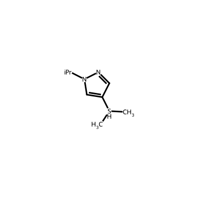 CC(C)n1cc([SH](C)C)cn1